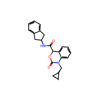 O=C(NC1Cc2ccccc2C1)C1OC(=O)N(CC2CC2)c2ccccc21